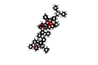 CC1(C)c2ccccc2-c2ccc3c(c21)c1ccccc1n3-c1ccncc1-c1cc(-c2nc(-c3ccccc3)nc(-c3ccccc3)n2)ccc1-n1c2ccccc2c2c3c(ccc21)-c1ccccc1C3(C)Cc1ccc2c(c1)c1c3sc4ccccc4c3ccc1n2-c1ccncc1-c1cc(-c2nc(-c3ccccc3)nc(-c3ccccc3)n2)ccc1-n1c2ccccc2c2c3sc4ccccc4c3ccc21